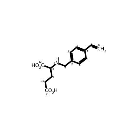 C=Cc1ccc(CNC(CCC(=O)O)C(=O)O)cc1